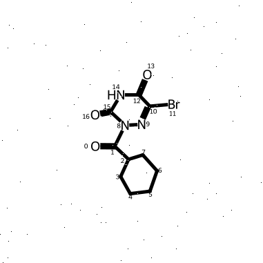 O=C(C1CCCCC1)n1nc(Br)c(=O)[nH]c1=O